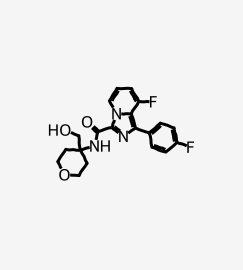 O=C(NC1(CO)CCOCC1)c1nc(-c2ccc(F)cc2)c2c(F)cccn12